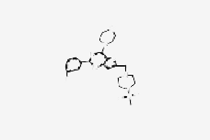 CS(=O)(=O)N1CCN(Cc2cc3nc(-c4cccc(F)c4)nc(N4CCOCC4)c3s2)CC1